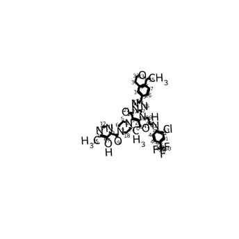 CCc1c(N2CCN(C(=O)c3ncnc(C)c3O)CC2)c(=O)n2nc(-c3ccc4c(c3)CCOC4C)nc2n1CC(=O)Nc1ccc(C(F)(F)F)cc1Cl